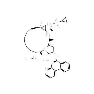 CC(C)(C)N(C(=O)O)[C@H]1CCCCCC=C[C@@H]2C[C@@]2(C(=O)NS(=O)(=O)C2CC2)NC(=O)[C@@H]2C[C@@H](Oc3nc4ncccc4c4ccccc34)CN2C1=O